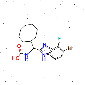 O=C(O)NC(c1nc2c(F)c(Br)ccc2[nH]1)C1CCCCCCC1